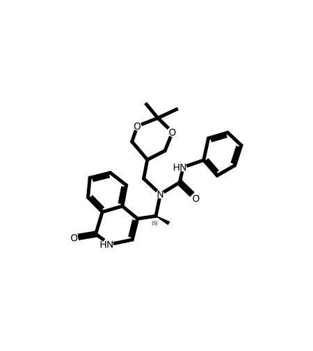 C[C@@H](c1c[nH]c(=O)c2ccccc12)N(CC1COC(C)(C)OC1)C(=O)Nc1ccccc1